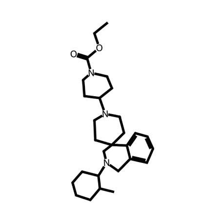 CCOC(=O)N1CCC(N2CCC3(CC2)CN(C2CCCCC2C)Cc2ccccc23)CC1